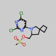 CS(=O)(=O)OCC1CC2(CCC2)CN1c1cc(Cl)nc(Cl)n1